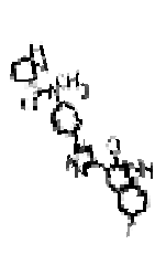 CN(C(=O)[C@@H]1CCCN1)c1ccc(-n2cc(-c3cc4cc(F)ccc4[nH]c3=O)nn2)cc1